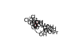 CCc1c(Cl)c(C)c(Cl)c(O)c1C(=O)O[C@H]1[C@H](O)[C@H](OC)[C@H](OC/C2=C\C=C\C[C@H](O)/C(C)=C/[C@H](CC)[C@@H](O[C@@H]3OC(C)(C)[C@@H](OC(=O)C(C)C)[C@H](O)[C@@H]3O)/C(C)=C/C(C)=C/C[C@@H]([C@@H](C)O)OC2=O)O[C@@H]1C